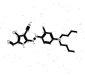 CCCCN(CCCC)c1ccc(N=Nc2sc(C=O)c(Cl)c2C#N)c(C)c1